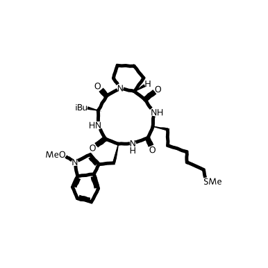 CCC(C)[C@@H]1NC(=O)[C@H](Cc2cn(OC)c3ccccc23)NC(=O)[C@H](CCCCCSC)NC(=O)[C@H]2CCCCN2C1=O